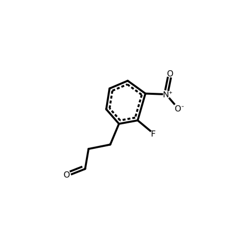 O=CCCc1cccc([N+](=O)[O-])c1F